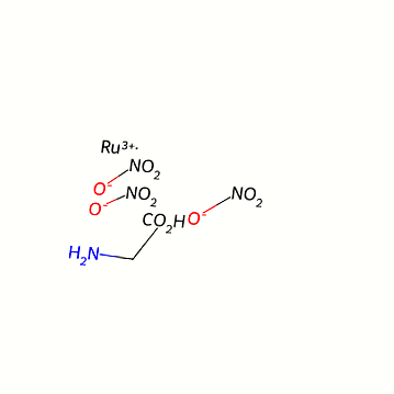 NCC(=O)O.O=[N+]([O-])[O-].O=[N+]([O-])[O-].O=[N+]([O-])[O-].[Ru+3]